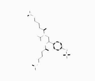 CC(C)N(CC(OC(=O)CCCO[N+](=O)[O-])c1ccc(NS(C)(=O)=O)cc1)C(=O)CCCO[N+](=O)[O-]